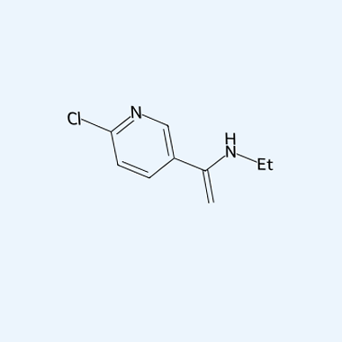 C=C(NCC)c1ccc(Cl)nc1